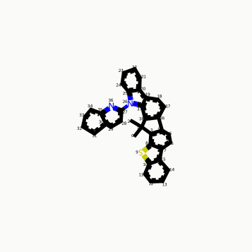 CC1(C)c2c(ccc3c2sc2ccccc23)-c2ccc3c4ccccc4n(-c4ccc5ccccc5n4)c3c21